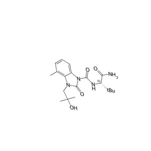 Cc1cccc2c1n(CC(C)(C)O)c(=O)n2C(=O)N[C@H](C(N)=O)C(C)(C)C